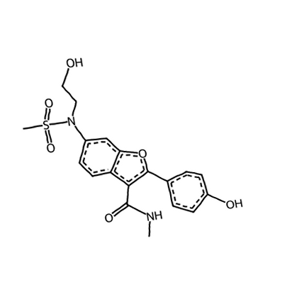 CNC(=O)c1c(-c2ccc(O)cc2)oc2cc(N(CCO)S(C)(=O)=O)ccc12